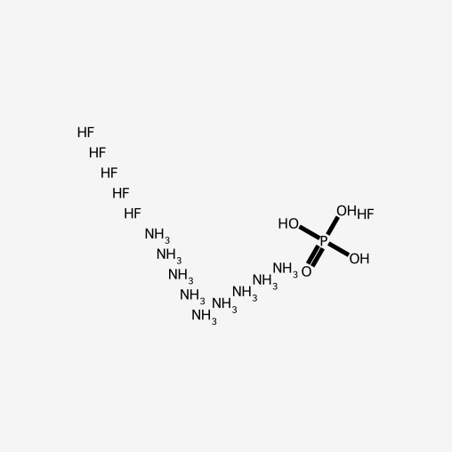 F.F.F.F.F.F.N.N.N.N.N.N.N.N.N.O=P(O)(O)O